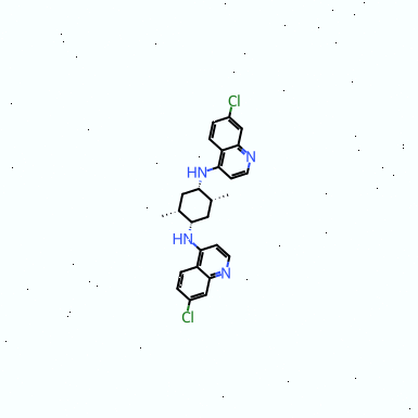 C[C@@H]1C[C@H](Nc2ccnc3cc(Cl)ccc23)[C@H](C)C[C@@H]1Nc1ccnc2cc(Cl)ccc12